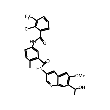 COc1cc2cc(NC(=O)c3cc(NC(=O)c4cccc(C(F)(F)F)c4Cl)ccc3C)cnc2cc1C(C)O